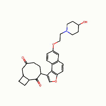 O=C1CCC(c2coc3ccc4cc(OCCN5CCC(O)CC5)ccc4c23)C(=O)C2CCC2C1